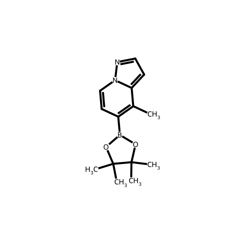 Cc1c(B2OC(C)(C)C(C)(C)O2)ccn2nccc12